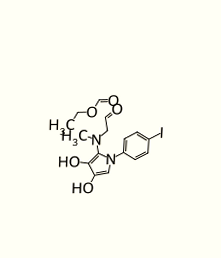 CCOC=O.CN(CC=O)c1c(O)c(O)cn1-c1ccc(I)cc1